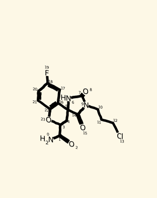 NC(=O)C1CC2(NC(=O)N(CCCCl)C2=O)c2cc(F)ccc2O1